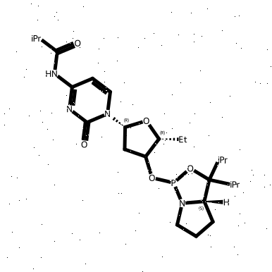 CC[C@H]1O[C@@H](n2ccc(NC(=O)C(C)C)nc2=O)CC1OP1OC(C(C)C)(C(C)C)[C@@H]2CCCN21